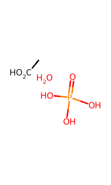 CC(=O)O.O.O=P(O)(O)O